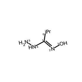 CC(C)/C(=N\O)NN